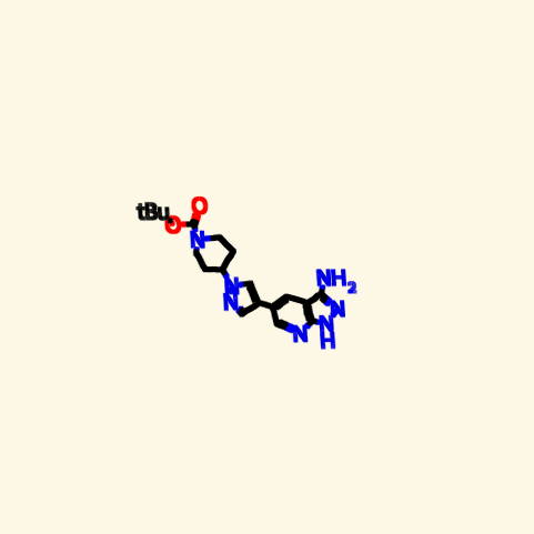 CC(C)(C)OC(=O)N1CCC(n2cc(-c3cnc4[nH]nc(N)c4c3)cn2)CC1